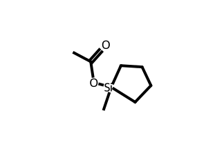 CC(=O)O[Si]1(C)CCCC1